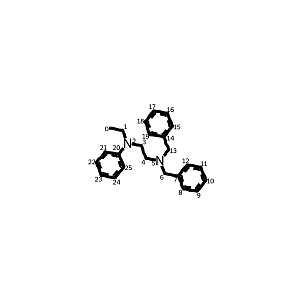 CCN(CCN(Cc1ccccc1)Cc1ccccc1)c1ccccc1